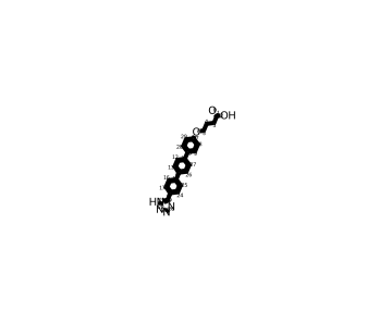 O=C(O)CCCOc1ccc(-c2ccc(-c3ccc(-c4nnn[nH]4)cc3)cc2)cc1